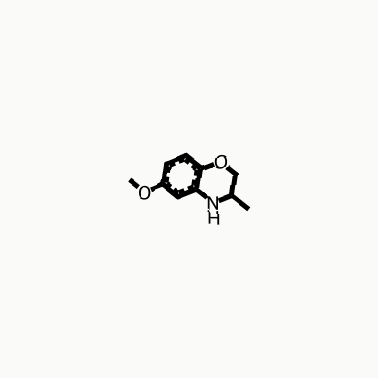 COc1ccc2c(c1)NC(C)CO2